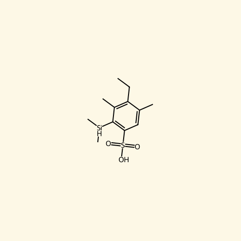 CCc1c(C)cc(S(=O)(=O)O)c([SiH](C)C)c1C